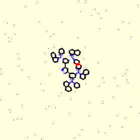 c1ccc(N(c2cc(-c3cncc(-c4cc(N(c5ccccc5)c5cccc6ccccc56)cc(N(c5ccccc5)c5cccc6ccccc56)c4)c3)cc(N(c3ccccc3)c3cccc4ccccc34)c2)c2cccc3ccccc23)cc1